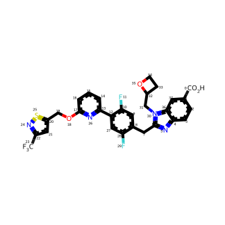 O=C(O)c1ccc2nc(Cc3cc(F)c(-c4cccc(OCc5cc(C(F)(F)F)ns5)n4)cc3F)n(CC3CCO3)c2c1